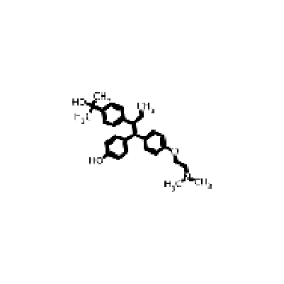 CCC(=C(c1ccc(O)cc1)c1ccc(OCCN(C)C)cc1)c1ccc(C(C)(C)O)cc1